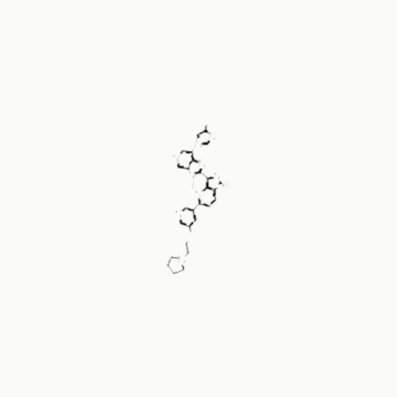 Cc1cn(-c2cncc3[nH]c(-c4n[nH]c5ccc(-c6cncc(OCCN7CCCC7)c6)nc45)nc23)cn1